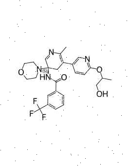 CC1=C(c2ccc(OC(C)CO)nc2)C[C@](NC(=O)c2cccc(C(F)(F)F)c2)(N2CCOCC2)C=N1